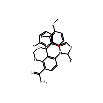 COc1ccc(F)c(C2OCOc3c(C(N)=O)ccc(N4C(c5cccc(F)n5)=CSC4F)c32)c1F